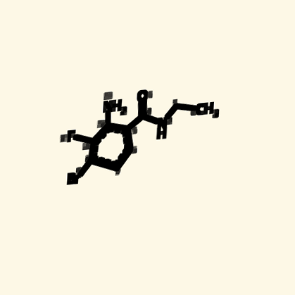 CCNC(=O)c1ccc(Br)c(F)c1N